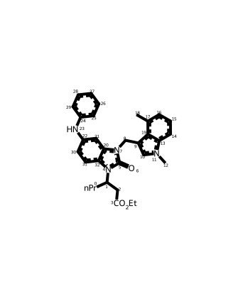 CCCC(CC(=O)OCC)n1c(=O)n(Cc2cn(C)c3cccc(C)c23)c2cc(Nc3ccccc3)ccc21